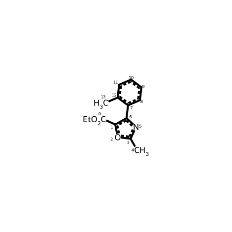 CCOC(=O)c1oc(C)nc1-c1ccccc1C